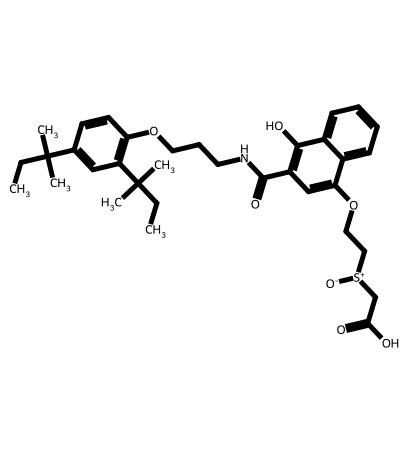 CCC(C)(C)c1ccc(OCCCNC(=O)c2cc(OCC[S+]([O-])CC(=O)O)c3ccccc3c2O)c(C(C)(C)CC)c1